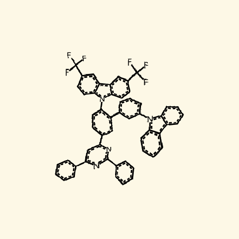 FC(F)(F)c1ccc2c(c1)c1cc(C(F)(F)F)ccc1n2-c1ccc(-c2cc(-c3ccccc3)nc(-c3ccccc3)n2)cc1-c1cccc(-n2c3ccccc3c3ccccc32)c1